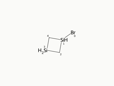 Br[SiH]1C[SiH2]C1